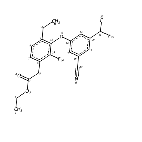 CCOC(=O)Cc1ccc(CC)c(Oc2cc(C#N)cc(C(F)F)c2)c1F